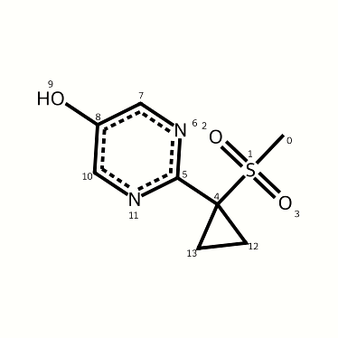 CS(=O)(=O)C1(c2ncc(O)cn2)CC1